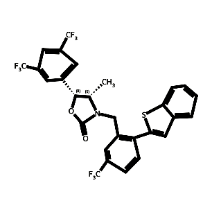 C[C@H]1[C@@H](c2cc(C(F)(F)F)cc(C(F)(F)F)c2)OC(=O)N1Cc1cc(C(F)(F)F)ccc1-c1cc2ccccc2s1